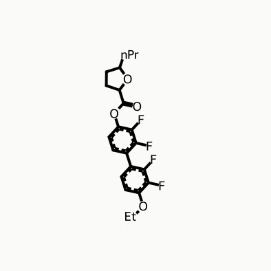 CCCC1CCC(C(=O)Oc2ccc(-c3ccc(OCC)c(F)c3F)c(F)c2F)O1